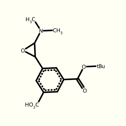 CN(C)C1OC1c1cc(C(=O)O)cc(C(=O)OC(C)(C)C)c1